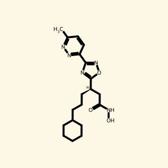 Cc1ccc(-c2noc([C@H](CCCC3CCCCC3)CC(=O)NO)n2)nn1